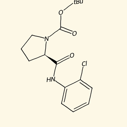 CC(C)(C)OC(=O)N1CCC[C@@H]1C(=O)Nc1ccccc1Cl